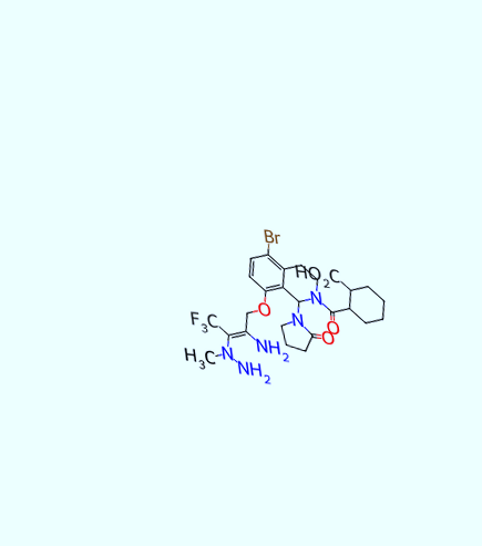 CN(N)/C(=C(\N)COc1ccc(Br)c2c1C(N1CCCC1=O)N(C(=O)C1CCCCC1C(=O)O)CC2)C(F)(F)F